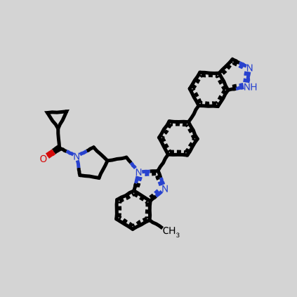 Cc1cccc2c1nc(-c1ccc(-c3ccc4cn[nH]c4c3)cc1)n2CC1CCN(C(=O)C2CC2)C1